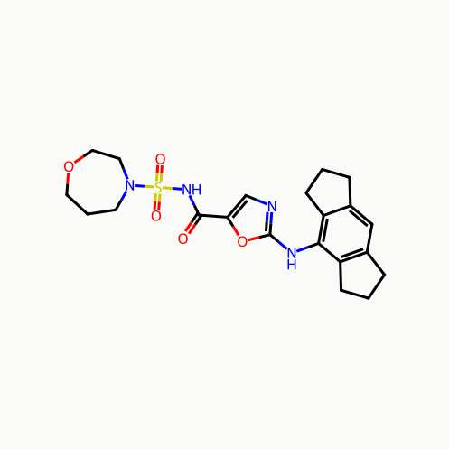 O=C(NS(=O)(=O)N1CCCOCC1)c1cnc(Nc2c3c(cc4c2CCC4)CCC3)o1